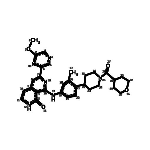 COc1cncc(-c2cc3cc[nH]c(=O)c3c(Nc3ccc(C4CCN(C(=O)C5CCOCC5)CC4)c(C)c3)n2)n1